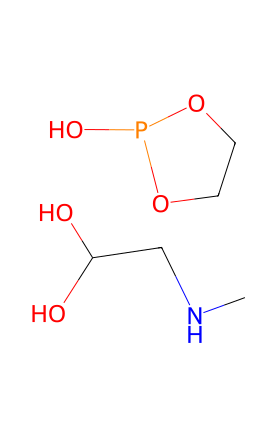 CNCC(O)O.OP1OCCO1